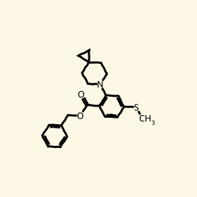 CSc1ccc(C(=O)OCc2ccccc2)c(N2CCC3(CC2)CC3)c1